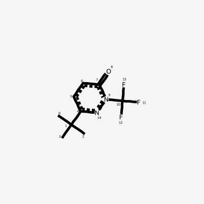 CC(C)(C)c1ccc(=O)n(C(F)(F)F)n1